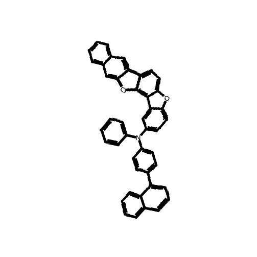 c1ccc(N(c2ccc(-c3cccc4ccccc34)cc2)c2ccc3oc4ccc5c6cc7ccccc7cc6oc5c4c3c2)cc1